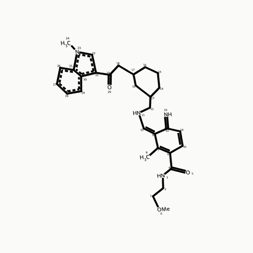 COCCNC(=O)C1=C(C)/C(=C/NCC2CCCC(CC(=O)c3cn(C)c4ccccc34)C2)C(=N)C=C1